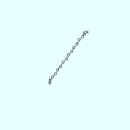 N#COCOCCOCCOCCOCCOCCOCCOCCOCCOCCOCCOCCOCN=C=O